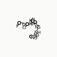 O=S(=O)=C(CNCCc1nc(-c2ccc3ncnc(Nc4ccc(OCc5cccc(F)c5)c(Cl)c4)c3c2)cs1)c1ccccn1